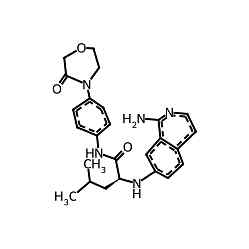 CC(C)C[C@H](Nc1ccc2ccnc(N)c2c1)C(=O)Nc1ccc(N2CCOCC2=O)cc1